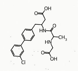 CC(NCC(=O)O)C(=O)NC(CC(=O)O)Cc1ccc(-c2cccc(Cl)c2)cc1